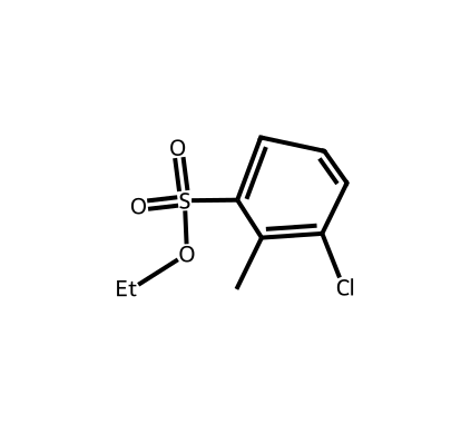 [CH2]COS(=O)(=O)c1cccc(Cl)c1C